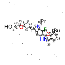 CC(C)Cn1cc(Cc2cccc(OC(C)(C)C(=O)O)c2)c2ccc(C(=O)N[C@@H](C)c3cccc(C(C)(C)C)c3)c(F)c21